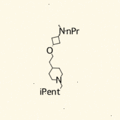 CCCC(C)CN1CCC(CCO[C@H]2C[C@H](N(C)CCC)C2)CC1